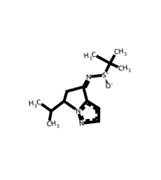 CC(C)C1C/C(=N/[S@@+]([O-])C(C)(C)C)c2ccnn21